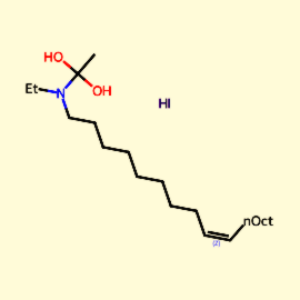 CCCCCCCC/C=C\CCCCCCCCN(CC)C(C)(O)O.I